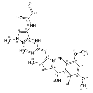 C=N/C(=C\c1nc(C(O)c2c(F)c(OC)cc(OC)c2F)sc1C)Nc1nn(C)cc1NC(=O)C=S